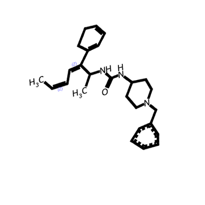 C/C=C\C=C(\C1=CC=CCC1)C(C)NC(=O)NC1CCN(Cc2ccccc2)CC1